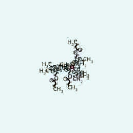 C=C[Si](OC)(OC)OC.CC=CC(=O)OCC[Si](C)(OC)OC.CC=CC(=O)OCC[Si](C)(OCC)OCC.CC=CC(=O)OCC[Si](OCC)(OCC)OCC